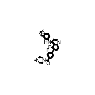 CN1CCN(C(=O)c2ccc(-c3ccc4nccc(Nc5ccc6scnc6c5)c4c3F)c(F)c2)CC1